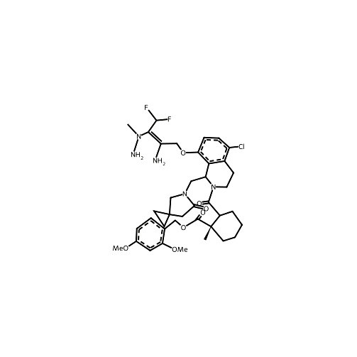 COc1ccc(COC(=O)[C@@]2(C)CCCCC2C(=O)N2CCc3c(Cl)ccc(OC/C(N)=C(\C(F)F)N(C)N)c3C2CN2CC3(CC3)CC2=O)c(OC)c1